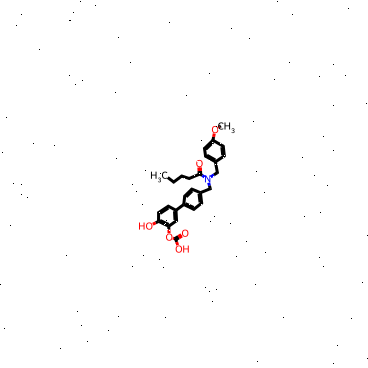 CCCCC(=O)N(Cc1ccc(OC)cc1)Cc1ccc(-c2ccc(O)c(OC(=O)O)c2)cc1